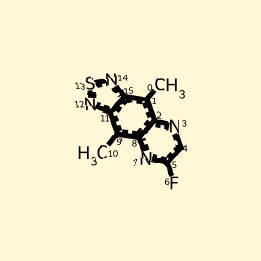 Cc1c2ncc(F)nc2c(C)c2nsnc12